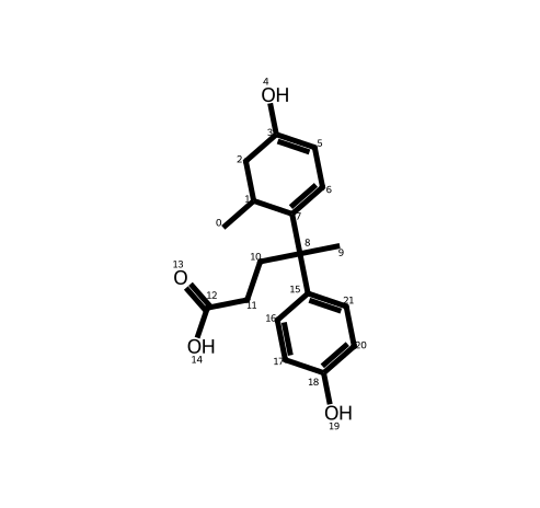 CC1CC(O)=CC=C1C(C)(CCC(=O)O)c1ccc(O)cc1